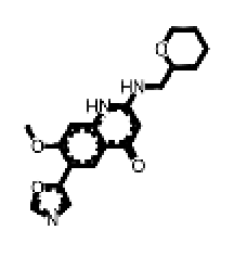 COc1cc2[nH]c(NCC3CCCCO3)cc(=O)c2cc1-c1cnco1